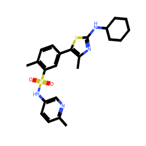 Cc1ccc(NS(=O)(=O)c2cc(-c3sc(NC4CCCCC4)nc3C)ccc2C)cn1